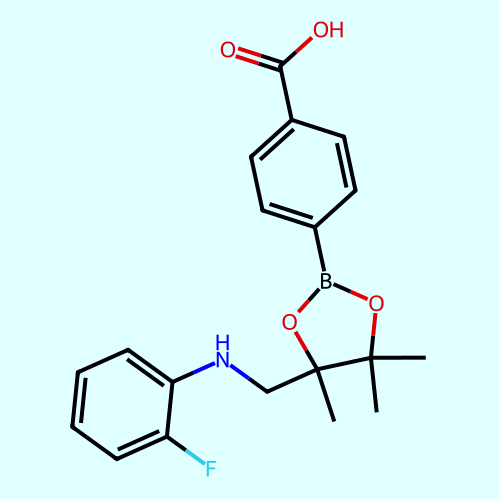 CC1(C)OB(c2ccc(C(=O)O)cc2)OC1(C)CNc1ccccc1F